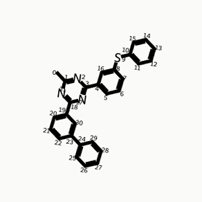 Cc1nc(-c2cccc(Sc3ccccc3)c2)nc(-c2cccc(-c3ccccc3)c2)n1